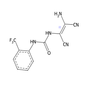 N#C/C(N)=C(\C#N)NC(=O)Nc1ccccc1C(F)(F)F